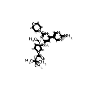 CC[C@@]1(Nc2cc(-c3cnc(N)nc3)nc(N3CCOCC3)n2)CCN(C(=O)OC(C)(C)C)C1